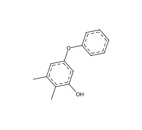 Cc1cc(Oc2ccccc2)cc(O)c1C